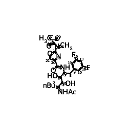 CCCC[C@@H](NC(C)=O)[C@@H](O)[C@H](O)[C@H](Cc1cc(F)cc(F)c1)NC(=O)c1coc(N(C)S(C)(=O)=O)n1